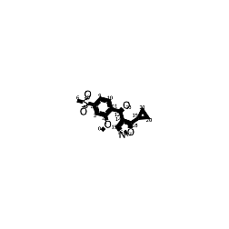 COc1cc(S(C)(=O)=O)ccc1C(=O)c1cnoc1C1CC1